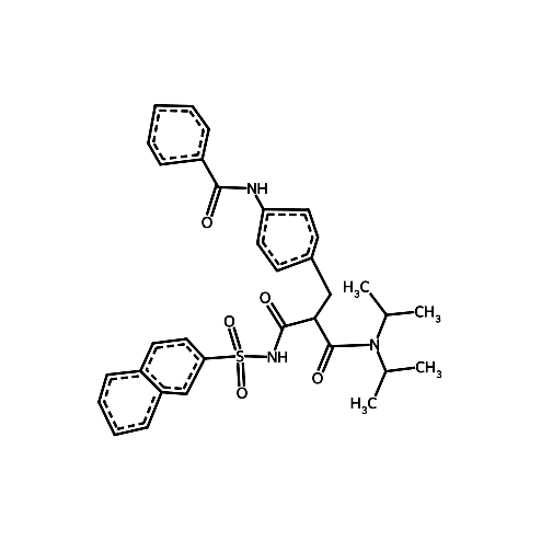 CC(C)N(C(=O)C(Cc1ccc(NC(=O)c2ccccc2)cc1)C(=O)NS(=O)(=O)c1ccc2ccccc2c1)C(C)C